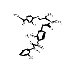 COc1cc(CC(=O)N(C)C(C)COc2ccc(C(=O)O)cc2Cl)ccc1NC(=O)Nc1ccccc1C